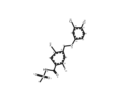 CS(=O)(=O)NC(=O)c1cc(F)c(COc2ccc(Cl)c(Cl)c2)cc1F